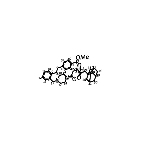 COC(=O)c1ccc(CCc2ccccc2CN2CCN(C(=O)CNC(=O)CC34CC5CC(CC(C5)C3)C4)CC2)cc1